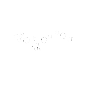 CCS(=O)(=O)c1ccc([C@H](CC#N)NC(=O)c2ccc(N3CC(Oc4ccc(C(F)(F)F)cc4)C3)cc2)cc1